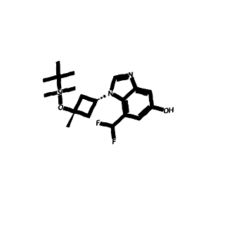 CC(C)(C)[Si](C)(C)O[C@]1(C)C[C@H](n2cnc3cc(O)cc(C(F)F)c32)C1